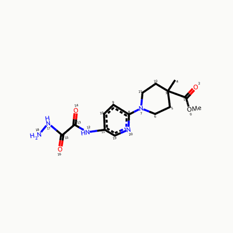 COC(=O)C1(C)CCN(c2ccc(NC(=O)C(=O)NN)cn2)CC1